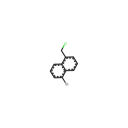 CCc1cccc2c(CCl)cccc12